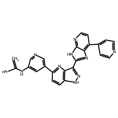 C=C(CCC)Nc1cncc(-c2ccc3[nH]nc(-c4nc5c(-c6ccncc6)ccnc5[nH]4)c3n2)c1